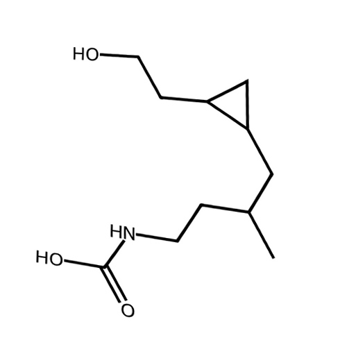 CC(CCNC(=O)O)CC1CC1CCO